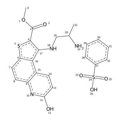 COC(=O)c1sc2ccc3nc(O)ccc3c2c1NCC(C)N.O=S(=O)(O)c1ccccc1